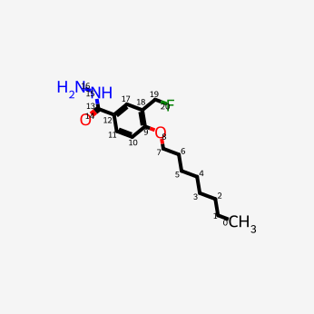 CCCCCCCCOc1ccc(C(=O)NN)cc1CF